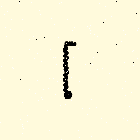 COCCOCCOCCOCCOCCOCCOCc1ccccc1